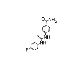 NC(=O)c1ccc(NC(=S)Nc2ccc(F)cc2)cc1